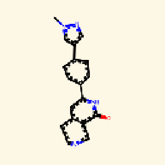 Cn1cc(-c2ccc(-c3cc4ccncc4c(=O)[nH]3)cc2)cn1